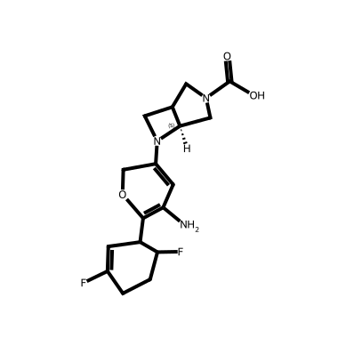 NC1=C(C2C=C(F)CCC2F)OCC(N2CC3CN(C(=O)O)C[C@H]32)=C1